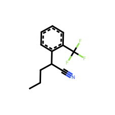 CCCC(C#N)c1ccccc1C(F)(F)F